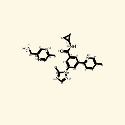 Cc1ccc(-c2cc(C(=O)NC3CC3)cc(-n3ncnc3C)c2)nc1.Cc1cnc(CN)cn1